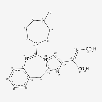 CN1CCCN(C2=Nc3ccccc3Cc3nc(C(=CC(=O)O)C(=O)O)cn32)CC1